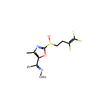 CO/N=C(/c1oc([S+]([O-])CCC(F)=C(F)F)nc1C)C(C)C